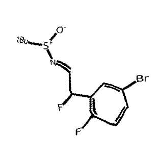 CC(C)(C)[S+]([O-])N=CC(F)c1cc(Br)ccc1F